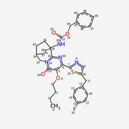 CCCCOc1c(-c2ncc(Cc3ccc(F)cc3)s2)nc2n(c1=O)CC1CCC2(NC(=O)OCc2ccccc2)CC1